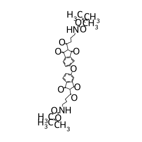 CC(C)(C)OC(=O)NCCCC(=O)C1C(=O)c2ccc(Oc3ccc4c(c3)C(=O)C(C(=O)CCCNC(=O)OC(C)(C)C)C4=O)cc2C1=O